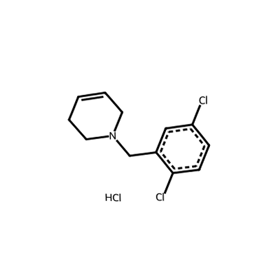 Cl.Clc1ccc(Cl)c(CN2CC=CCC2)c1